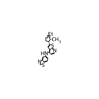 CCN1CC[C@H](c2cc3c(Nc4ccc5scnc5c4)ccnc3s2)[C@H]1C